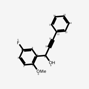 COc1ccc(F)cc1C(O)C#Cc1ccccc1